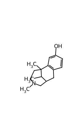 CC1C2Cc3ccc(O)cc3C1(C)CCN(C)C2